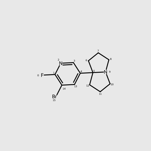 Fc1ncc(C23CCCN2CCC3)cc1Br